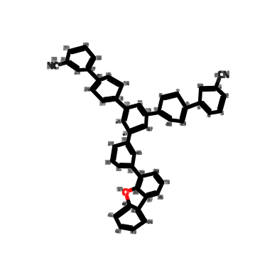 N#Cc1cccc(-c2ccc(-c3cc(-c4ccc(-c5cccc(C#N)c5)cc4)cc(-c4cccc(-c5cccc6c5oc5ccccc56)c4)c3)cc2)c1